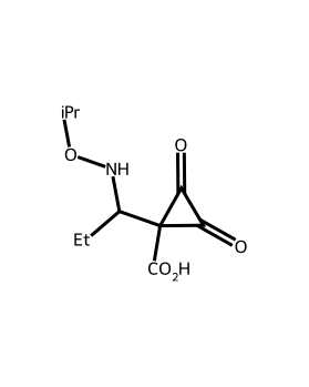 CCC(NOC(C)C)C1(C(=O)O)C(=O)C1=O